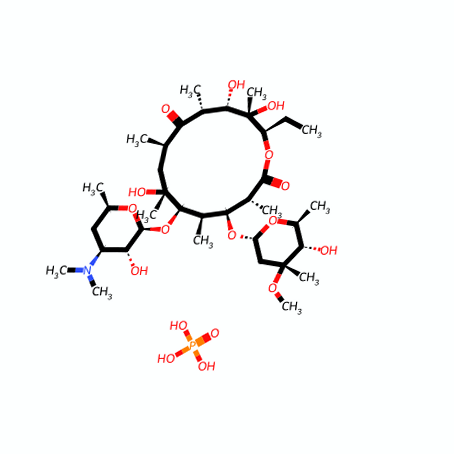 CC[C@H]1OC(=O)[C@H](C)[C@@H](O[C@H]2C[C@@](C)(OC)[C@@H](O)[C@H](C)O2)[C@@H](C)[C@@H](O[C@@H]2O[C@H](C)C[C@H](N(C)C)[C@H]2O)[C@](C)(O)C[C@@H](C)C(=O)[C@H](C)[C@H](O)[C@]1(C)O.O=P(O)(O)O